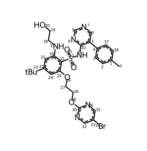 Cc1ccc(-c2cncnc2NS(=O)(=O)c2c(NCCO)cc(C(C)(C)C)cc2OCCOc2ncc(Br)cn2)cc1